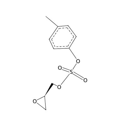 Cc1ccc(OS(=O)(=O)OC[C@H]2CO2)cc1